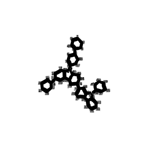 C1=CCCC(C2=CC=C(N3c4ccc(C5C=CC=CC5)cc4C4C=C(c5ccc6c7ccccc7n(C7=CC=CCC7)c6c5)C=CC43)CC2)=C1